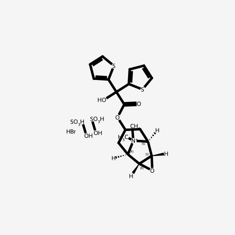 Br.C[N+]1(C)[C@@H]2CC(OC(=O)C(O)(c3cccs3)c3cccs3)C[C@H]1[C@@H]1O[C@@H]12.O=S(=O)(O)O.O=S(=O)(O)O